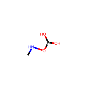 CNOB(O)O